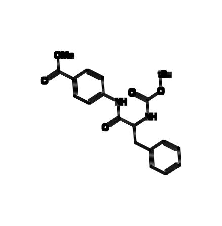 COC(=O)c1ccc(NC(=O)C(Cc2ccccc2)NC(=O)OC(C)(C)C)cc1